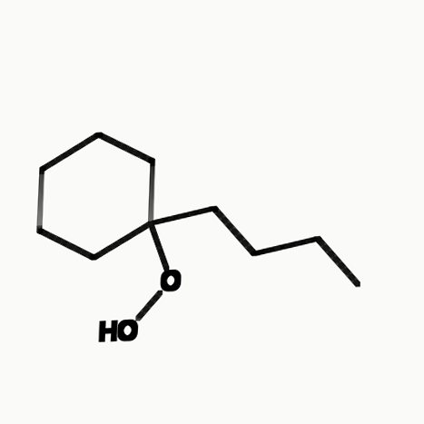 CCCCC1(OO)CCCCC1